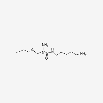 [CH2][CH]CSC[C@H](N)C(=O)NCCCCCN